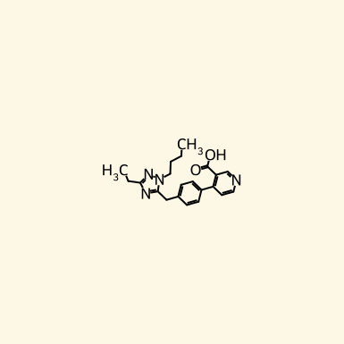 CCCCn1nc(CC)nc1Cc1ccc(-c2ccncc2C(=O)O)cc1